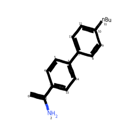 C=C(N)c1ccc(-c2ccc(CCCC)cc2)cc1